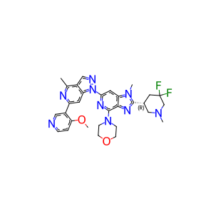 COc1ccncc1-c1cc2c(cnn2-c2cc3c(nc([C@H]4CN(C)CC(F)(F)C4)n3C)c(N3CCOCC3)n2)c(C)n1